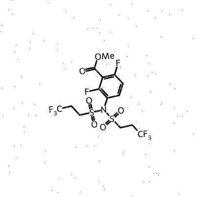 COC(=O)c1c(F)ccc(N(S(=O)(=O)CCC(F)(F)F)S(=O)(=O)CCC(F)(F)F)c1F